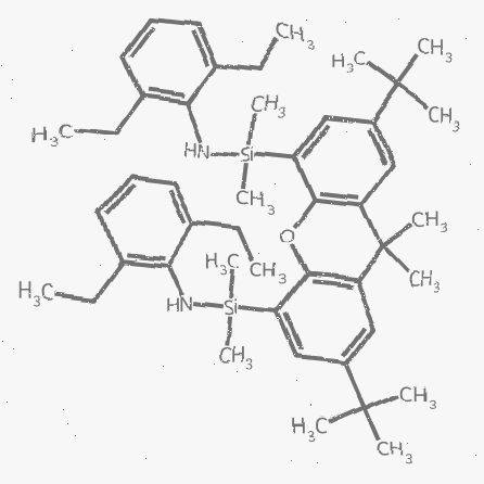 CCc1cccc(CC)c1N[Si](C)(C)c1cc(C(C)(C)C)cc2c1Oc1c(cc(C(C)(C)C)cc1[Si](C)(C)Nc1c(CC)cccc1CC)C2(C)C